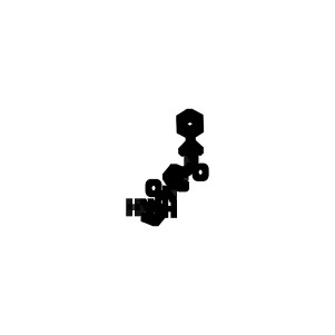 O=C(Nc1ccc(C(=O)N2CC(c3ccccc3)C2)s1)[C@@H]1CCCN1